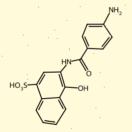 Nc1ccc(C(=O)Nc2cc(S(=O)(=O)O)c3ccccc3c2O)cc1